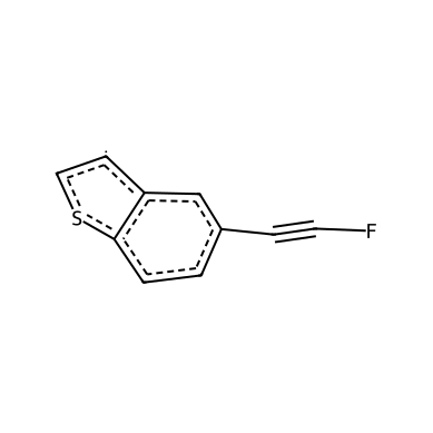 FC#Cc1ccc2sc[c]c2c1